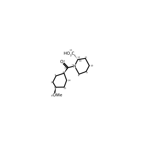 CO[C@H]1CC[C@@H](C(=O)N2CCCC[C@H]2C(=O)O)CC1